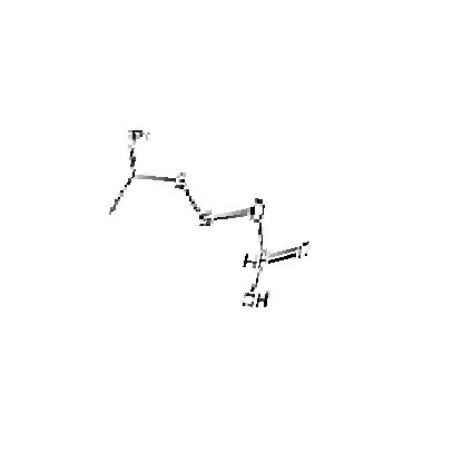 CC(C)C(C)SSO[PH](=O)O